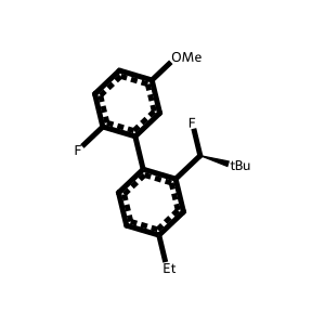 CCc1ccc(-c2cc(OC)ccc2F)c([C@@H](F)C(C)(C)C)c1